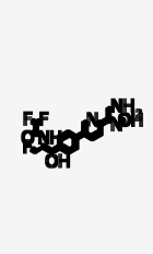 NC/C(=N\O)c1ccc(-c2ccc([C@@H](O)[C@@H](CF)NC(=O)C(F)F)cc2)cn1